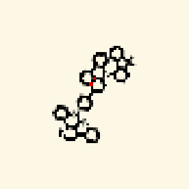 CC1(C)c2ccccc2-c2c(N(c3ccc(-c4ccc(N5c6ccccc6-c6nccc7c6c5nc5ccccc57)cc4)cc3)c3ccccc3-c3ccccc3)cccc21